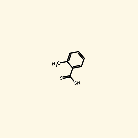 Cc1ccccc1C(=S)S